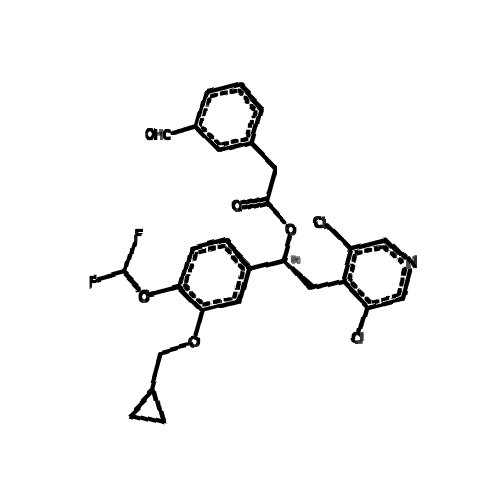 O=Cc1cccc(CC(=O)O[C@@H](Cc2c(Cl)cncc2Cl)c2ccc(OC(F)F)c(OCC3CC3)c2)c1